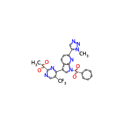 Cn1nncc1-c1ccc2c(-c3nc(S(C)(=O)=O)ncc3C(F)(F)F)cn(S(=O)(=O)c3ccccc3)c2n1